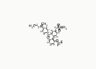 C=CCN(C)c1ccc(C2Oc3cccc(OC(F)F)c3-c3ccc(CS(N)(=O)=O)cc32)cc1